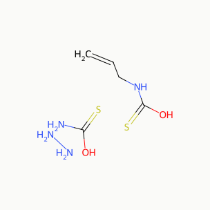 C=CCNC(O)=S.NC(O)=S.NN